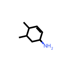 CC1C=CC(N)CC1C